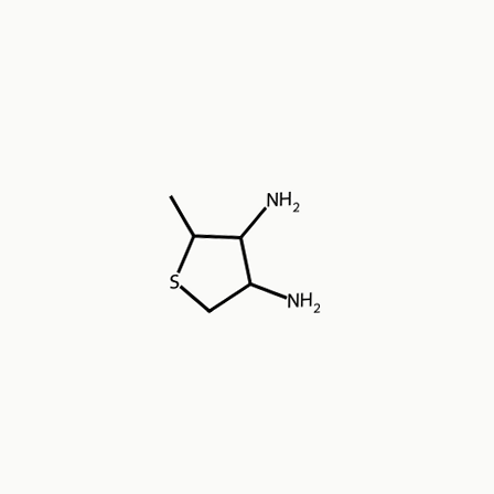 CC1SCC(N)C1N